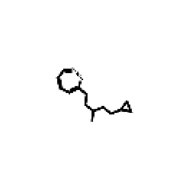 CC(CCC1=CC=CC=NS1)CCC1CC1